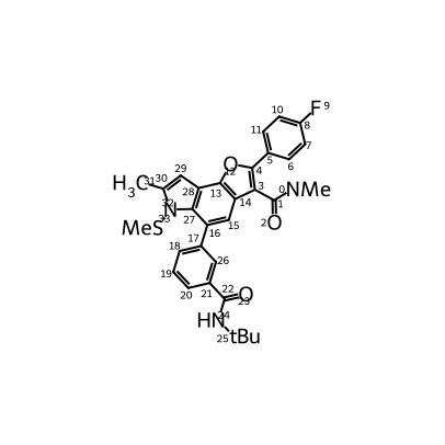 CNC(=O)c1c(-c2ccc(F)cc2)oc2c1cc(-c1cccc(C(=O)NC(C)(C)C)c1)c1c2cc(C)n1SC